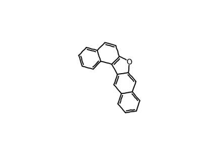 c1ccc2cc3c(cc2c1)oc1ccc2ccccc2c13